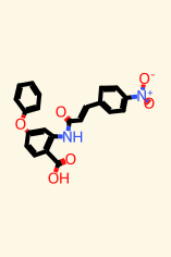 O=C(/C=C/c1ccc([N+](=O)[O-])cc1)Nc1cc(Oc2ccccc2)ccc1C(=O)O